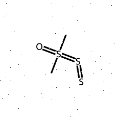 CS(C)(=O)=S=S